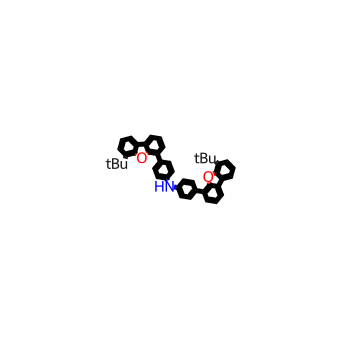 CC(C)(C)c1cccc2c1oc1c(-c3ccc(Nc4ccc(-c5cccc6c5oc5c(C(C)(C)C)cccc56)cc4)cc3)cccc12